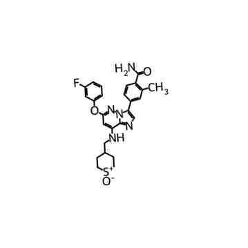 Cc1cc(-c2cnc3c(NCC4CC[S+]([O-])CC4)cc(Oc4cccc(F)c4)nn23)ccc1C(N)=O